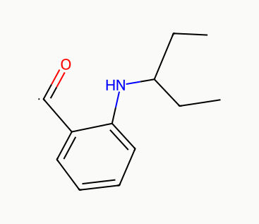 CCC(CC)Nc1ccccc1[C]=O